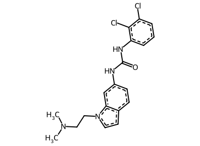 CN(C)CCn1ccc2ccc(NC(=O)Nc3cccc(Cl)c3Cl)cc21